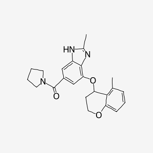 Cc1nc2c(OC3CCOc4cccc(C)c43)cc(C(=O)N3CCCC3)cc2[nH]1